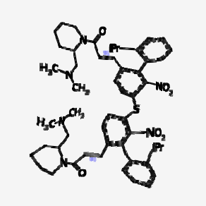 CC(C)c1ccccc1-c1c(/C=C/C(=O)N2CCCCC2CN(C)C)ccc(Sc2ccc(/C=C/C(=O)N3CCCCC3CN(C)C)c(-c3ccccc3C(C)C)c2[N+](=O)[O-])c1[N+](=O)[O-]